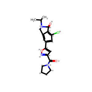 CC(C)N1Cc2cc(-c3cc(C(=O)N4CCCC4)no3)cc(Cl)c2C1=O